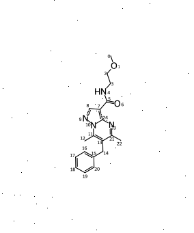 COCCNC(=O)c1cnn2c(C)c(Cc3ccccc3)c(C)nc12